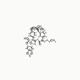 CCCCN(C(=O)CN1C[C@H](c2ccc3c(c2)OCO3)[C@H](C(=O)O)[C@H]1c1ccc(OC)cc1)c1cccc(C[N+](C)(C)C)c1